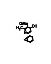 COc1c(O)ccnc1C.c1ccc2c(c1)C2